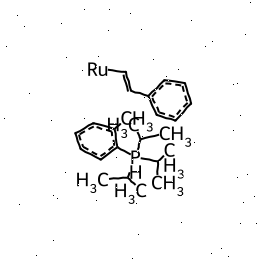 Cc1ccccc1[PH](C(C)C)(C(C)C)C(C)C.[Ru][CH]=Cc1ccccc1